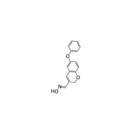 ON=CC1=Cc2cc(Oc3ccccc3)ccc2OC1